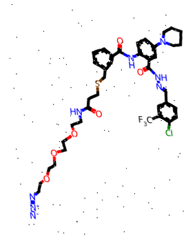 [N-]=[N+]=NCCOCCOCCOCCNC(=O)CCSCc1cccc(C(=O)Nc2ccc(N3CCCCC3)cc2C(=O)NN=Cc2ccc(Cl)c(C(F)(F)F)c2)c1